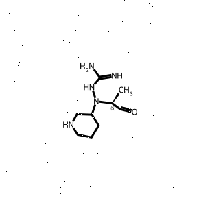 C[C@@H](C=O)N(NC(=N)N)C1CCCNC1